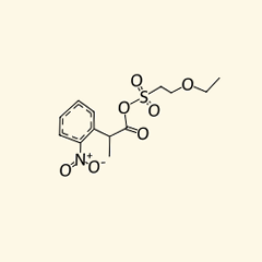 CCOCCS(=O)(=O)OC(=O)C(C)c1ccccc1[N+](=O)[O-]